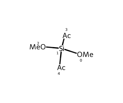 CO[Si](OC)(C(C)=O)C(C)=O